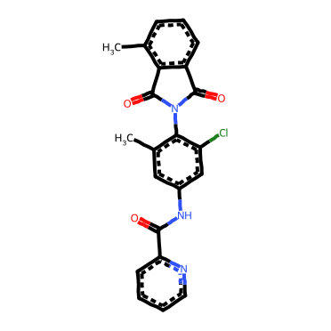 Cc1cccc2c1C(=O)N(c1c(C)cc(NC(=O)c3ccccn3)cc1Cl)C2=O